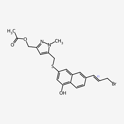 CC(=O)OCc1cc(CSc2cc(O)c3ccc(/C=C/CBr)cc3c2)n(C)n1